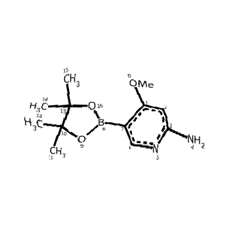 COc1cc(N)ncc1B1OC(C)(C)C(C)(C)O1